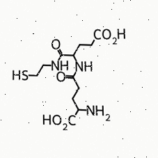 NC(CCC(=O)NC(CCC(=O)O)C(=O)NCCS)C(=O)O